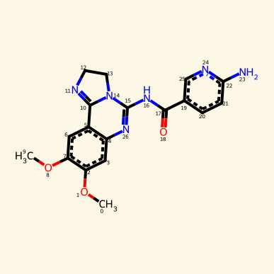 COc1cc2c(cc1OC)C1=NCCN1C(NC(=O)c1ccc(N)nc1)=N2